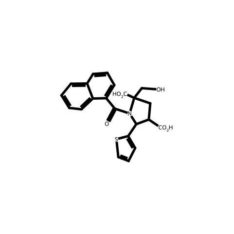 O=C(O)C1CC(CO)(C(=O)O)N(C(=O)c2cccc3ccccc23)C1c1cccs1